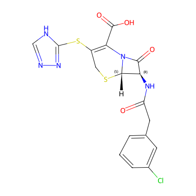 O=C(Cc1cccc(Cl)c1)N[C@@H]1C(=O)N2C(C(=O)O)=C(Sc3nnc[nH]3)CS[C@@H]12